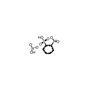 O=[N+]([O-])O.O=[N+]([O-])c1ccccc1S(=O)(=O)O